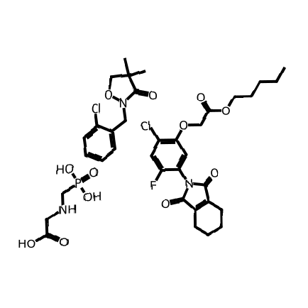 CC1(C)CON(Cc2ccccc2Cl)C1=O.CCCCCOC(=O)COc1cc(N2C(=O)C3=C(CCCC3)C2=O)c(F)cc1Cl.O=C(O)CNCP(=O)(O)O